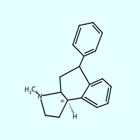 CN1CC[C@@H]2c3ccccc3C(c3ccccc3)CC21